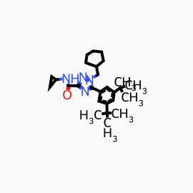 CC(C)(C)c1cc(-c2nc(C(=O)NC3CC3)nn2CC2CCCCC2)cc(C(C)(C)C)c1